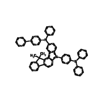 CC1(C)c2ccccc2-c2ccc3c(c21)c1cc(N(c2ccccc2)c2ccc(-c4ccccc4)cc2)ccc1n3-c1ccc(N(c2ccccc2)c2ccccc2)cc1